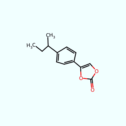 CCC(C)c1ccc(-c2coc(=O)o2)cc1